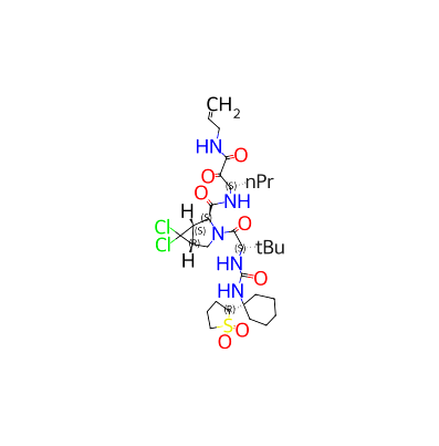 C=CCNC(=O)C(=O)[C@H](CCC)NC(=O)[C@@H]1[C@@H]2[C@H](CN1C(=O)[C@@H](NC(=O)NC1([C@H]3CCCS3(=O)=O)CCCCC1)C(C)(C)C)C2(Cl)Cl